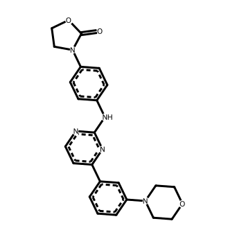 O=C1OCCN1c1ccc(Nc2nccc(-c3cccc(N4CCOCC4)c3)n2)cc1